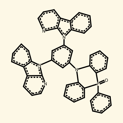 O=P1(c2ccccc2)c2ccccc2N(c2cc(-n3c4ccccc4c4cccnc43)cc(-n3c4ccccc4c4cccnc43)c2)c2ccccc21